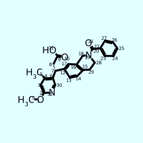 COc1cc(C)c([C@H](CC(=O)O)c2ccc3c(c2)CN(C(=O)c2ccccc2)CC3)cn1